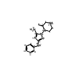 CC1CNCCN1n1nc(Nc2cccnc2)nc1N